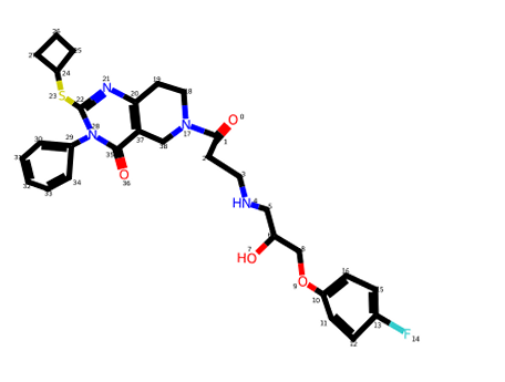 O=C(CCNCC(O)COc1ccc(F)cc1)N1CCc2nc(SC3CCC3)n(-c3ccccc3)c(=O)c2C1